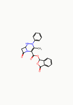 CC1=C(C(=O)OC2OC(=O)c3ccccc32)N2C(=O)CC2NN1c1ccccc1